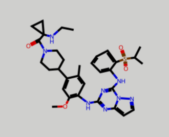 CCNC1(C(=O)N2CCC(c3cc(OC)c(Nc4nc(Nc5ccccc5S(=O)(=O)C(C)C)n5nccc5n4)cc3C)CC2)CC1